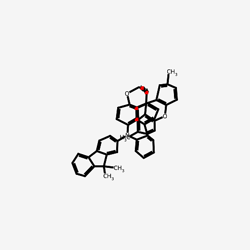 Cc1ccc2c(c1)C1(c3ccccc3Oc3ccc(N(c4ccc5c(c4)C(C)(C)c4ccccc4-5)c4ccccc4-c4ccccc4)cc31)c1cc(C)ccc1O2